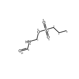 CCCS(=O)(=O)OCNC=O